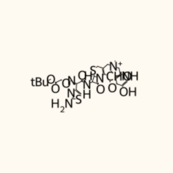 CC(C)(C)OC(=O)CO/N=C(/C(=O)N[C@@H]1C(=O)N2C([C]=O)=C(C[N+](C)(C)Cc3cc(=O)c(O)c[nH]3)CS[C@H]12)c1csc(N)n1